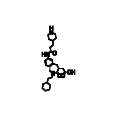 O=C(O)CC1Cc2cc(NC(=O)CCC3CCNCC3)ccc2CN(CCC2CCCCC2)C1=O